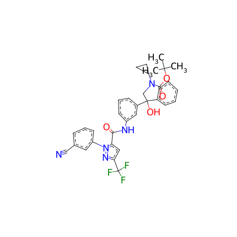 CC(C)(C)OC(=O)N(CC(O)(c1ccccc1)c1cccc(NC(=O)c2cc(C(F)(F)F)nn2-c2cccc(C#N)c2)c1)C1CC1